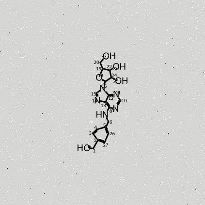 OCc1ccc(CNc2ncnc3c2ncn3C2OC(CO)C(O)C2O)cc1